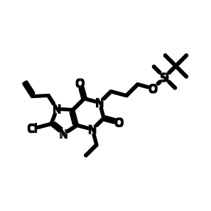 C=CCn1c(Cl)nc2c1c(=O)n(CCCO[Si](C)(C)C(C)(C)C)c(=O)n2CC